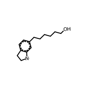 OCCCCCCc1ccc2c(c1)[N]CC2